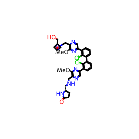 COc1nc(-c2cccc(-c3cccc(-c4cnc(CN5CC6CC5(CO)C6)c(OC)n4)c3Cl)c2Cl)cnc1CNC[C@@H]1CCC(=O)N1